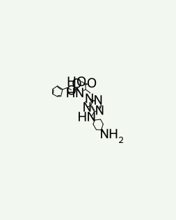 NC1CCC(Nc2ncnc3c2ncn3CC(NC(=O)OCc2ccccc2)C(=O)O)CC1